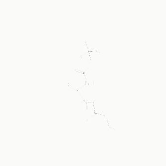 CCOC(=O)CNC(C)NC(=O)OC(C)(C)C